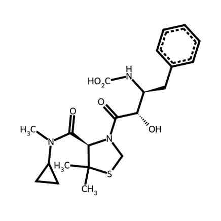 CN(C(=O)[C@H]1N(C(=O)[C@@H](O)[C@H](Cc2ccccc2)NC(=O)O)CSC1(C)C)C1CC1